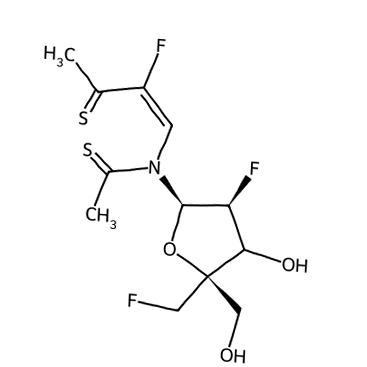 CC(=S)/C(F)=C\N(C(C)=S)[C@@H]1O[C@@](CO)(CF)C(O)[C@@H]1F